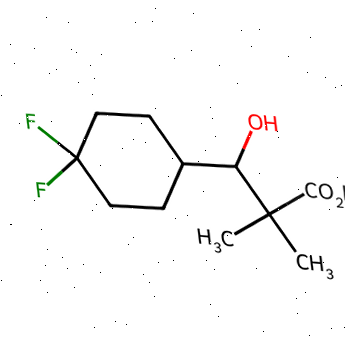 CC(C)(C(=O)O)C(O)C1CCC(F)(F)CC1